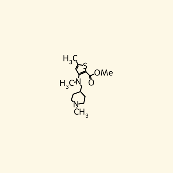 COC(=O)c1sc(C)cc1N(C)CC1CCN(C)CC1